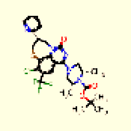 C[C@@H]1CN(c2nc(=O)n3c4c(c(Cl)c(C(F)(F)F)cc24)SC[C@H](c2ccccn2)C3)C[C@H](C)N1C(=O)OC(C)(C)C